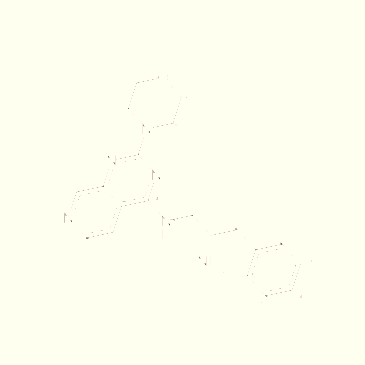 N[C@H](CNc1nc(N2CCOCC2)nc2cnccc12)Cc1ccccc1